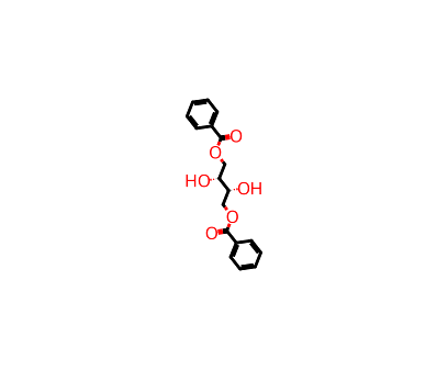 O=C(OC[C@@H](O)[C@H](O)COC(=O)c1ccccc1)c1ccccc1